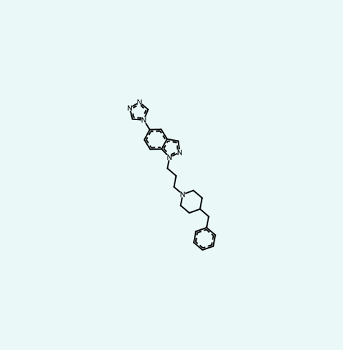 c1ccc(CC2CCN(CCCn3ncc4cc(-n5cnnc5)ccc43)CC2)cc1